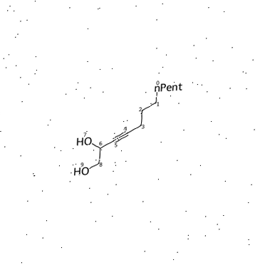 CCCCCCCCC#CC(O)CO